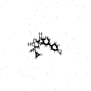 COc1ccc(-c2cnc3[nH]c(=O)n(CC(O)N(C)C4CC4)c3c2)cc1